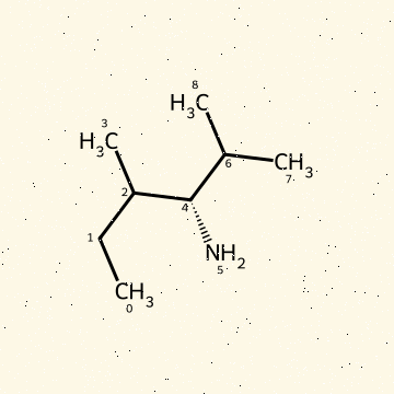 CCC(C)[C@@H](N)C(C)C